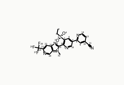 CCS(=O)(=O)c1cc(-c2cc(C#N)ccn2)cnc1-c1nc2cc(C(F)(F)F)ncc2n1C